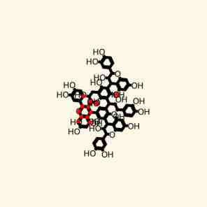 Oc1cc(O)c2c(c1)OC(c1ccc(O)c(O)c1)C(O)C2c1c(O)c2c(c(C3c4c(O)c(C5c6c(O)cc(O)cc6OC(c6ccc(O)c(O)c6)C5O)c(O)c(C5c6c(O)cc(O)cc6OC(c6ccc(O)c(O)c6)C5O)c4OC(c4ccc(O)c(O)c4)C3O)c1O)OC(c1ccc(O)c(O)c1)C(O)C2